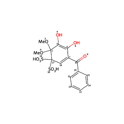 COC1(OC)C(O)=C(O)C(C(=O)c2ccccc2)=CC1(S(=O)(=O)O)S(=O)(=O)O